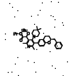 Cc1nc(C)c(C(OC(C)(C)C)C(=O)OC(C)C)c(N2CCC(C)(C)CC2)c1-c1ccc2c(c1)CC[C@@H](Cc1ccccc1)O2